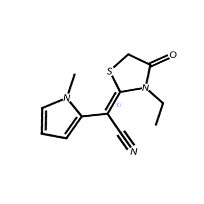 CCN1C(=O)CS/C1=C(/C#N)c1cccn1C